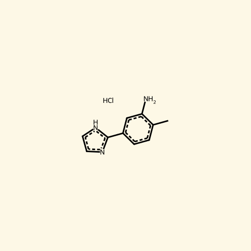 Cc1ccc(-c2ncc[nH]2)cc1N.Cl